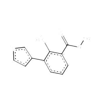 COC(=O)c1cccc(-c2ccsc2)c1C